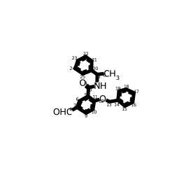 CC(NC(=O)c1cc(C=O)ccc1OCc1ccccc1)c1ccccc1